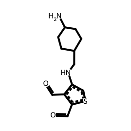 NC1CCC(CNc2csc(C=O)c2C=O)CC1